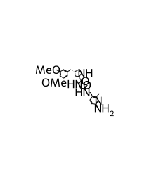 COc1cc(C[C@@H]2CN[C@@H](C(=O)N[C@@H](C)C(=O)NCc3ccc(N)nc3C)C2)cc(OC)c1